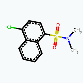 CN(C)S(=O)(=O)c1ccc(Cl)c2ccccc12